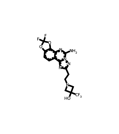 Nc1nc2c3c(ccc2c2nc(CCN4CC(O)(C(F)(F)F)C4)nn12)OC(F)(F)O3